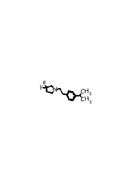 CC(C)c1ccc(CCN2CCC(F)(F)C2)cc1